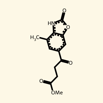 COC(=O)CCC(=O)c1cc(C)c2[nH]c(=O)oc2c1